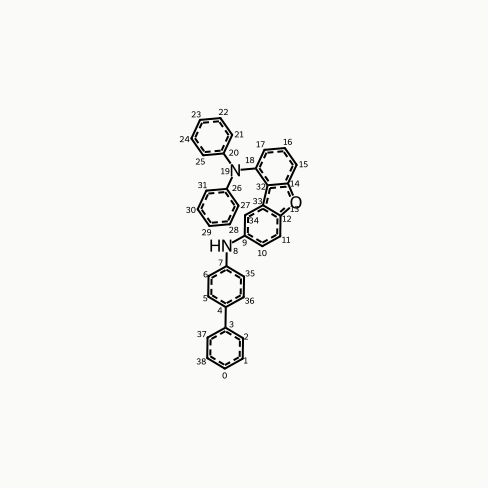 c1ccc(-c2ccc(Nc3ccc4oc5cccc(N(c6ccccc6)c6ccccc6)c5c4c3)cc2)cc1